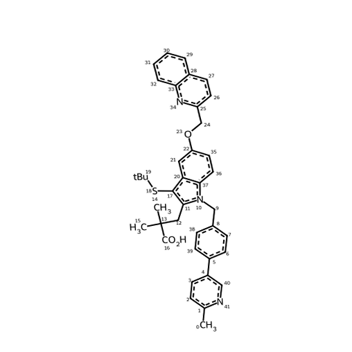 Cc1ccc(-c2ccc(Cn3c(CC(C)(C)C(=O)O)c(SC(C)(C)C)c4cc(OCc5ccc6ccccc6n5)ccc43)cc2)cn1